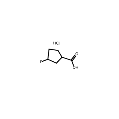 Cl.O=C(O)C1CCC(F)C1